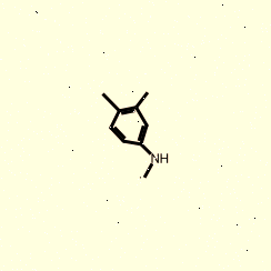 [CH2]Nc1ccc(C)c(C)c1